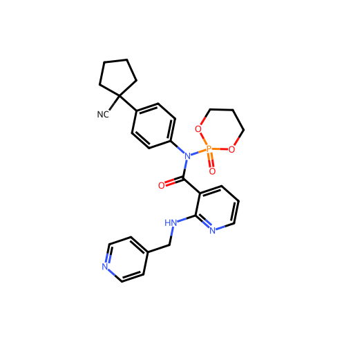 N#CC1(c2ccc(N(C(=O)c3cccnc3NCc3ccncc3)P3(=O)OCCCO3)cc2)CCCC1